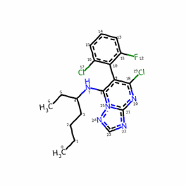 CCCCC(CC)Nc1c(-c2c(F)cccc2Cl)c(Cl)nc2ncnn12